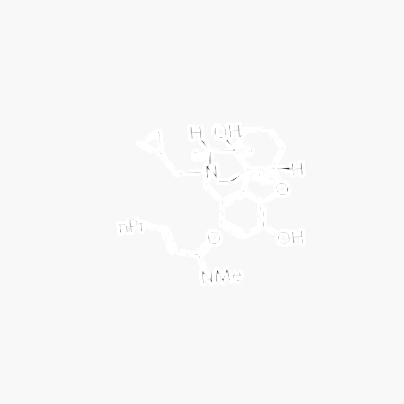 CCCC=CC(=O)NC.Oc1ccc2c3c1O[C@H]1CCC[C@@]4(O)[C@@H](C2)N(CC2CC2)CC[C@]314